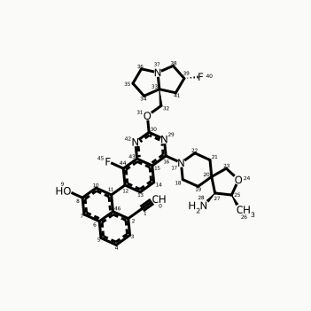 C#Cc1cccc2cc(O)cc(-c3ccc4c(N5CCC6(CC5)CO[C@@H](C)[C@H]6N)nc(OC[C@@]56CCCN5C[C@H](F)C6)nc4c3F)c12